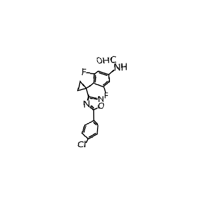 O=CNc1cc(F)c(C2(c3noc(-c4ccc(Cl)cc4)n3)CC2)c(F)c1